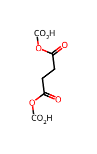 O=C(O)OC(=O)CCC(=O)OC(=O)O